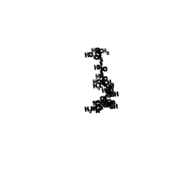 CC(C)(COP(=O)(O)OP(=O)(O)OC[C@H]1O[C@@H](n2cnc3c(N)ncnc32)[C@H](O)[C@@H]1OP(=O)(O)O)[C@@H](O)C(=O)NCCC(=O)NCCSC(=O)C[C@](C)(O)C(=O)O